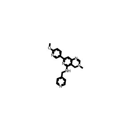 COc1ccc(-c2cc3c(c(NCc4ccncc4)n2)CN(C)C=N3)cn1